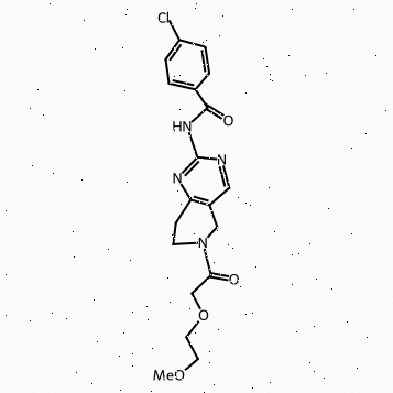 COCCOCC(=O)N1CCc2nc(NC(=O)c3ccc(Cl)cc3)ncc2C1